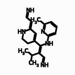 Cc1cccc(N/C(C2=C/C(=C/C=N)NCC2)=C(\C=N)C(C)C)n1